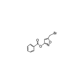 O=C(Oc1cc(CBr)on1)c1ccccc1